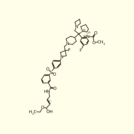 CCOC(O)/C=C/CNC(=O)c1cccc(S(=O)(=O)c2ccc(N3CC(F)(CN4CCC(C(CN5CCC5)(c5cccc(F)c5)[C@H]5CCC[C@@H]5NC(=O)OC)CC4)C3)cc2)c1